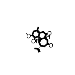 C=C(C)[C@H]1CC(=O)C[C@H]2C(=O)CC3=C(C)C[C@H](OC)[C@H](O)C3[C@@H]2C1